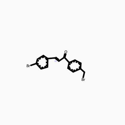 O=C(/C=C/c1ccc(Br)cc1)c1ccc(CBr)cc1